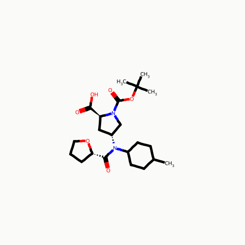 CC1CCC(N(C(=O)[C@@H]2CCCO2)[C@@H]2C[C@@H](C(=O)O)N(C(=O)OC(C)(C)C)C2)CC1